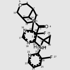 CC1(OC(=O)N2CC3COCC(C2)C3Oc2ncnc(Nc3ncccc3F)c2F)CC1